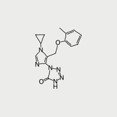 Cc1ccccc1OCc1c(-n2nn[nH]c2=O)ncn1C1CC1